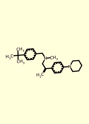 C=C(CN(C)Cc1ccc(C(C)(C)C)cc1)c1ccc(N2CCCCC2)cc1